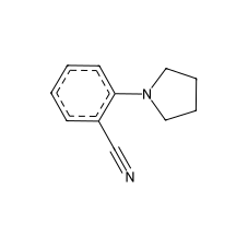 N#Cc1ccccc1N1CCCC1